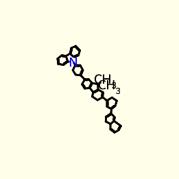 CC1(C)C2=C(CCC(C3=CC(C4=CCC5C=CC=CC5=C4)=CCC3)=C2)c2ccc(C3=CC=C(n4c5ccccc5c5ccccc54)CC3)cc21